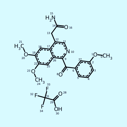 COc1cccc(C(=O)c2ncc(CC(N)=O)c3cc(OC)c(OC)cc23)c1.O=C(O)C(F)(F)F